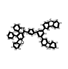 c1ccc(-c2c3c(cc4c(-c5ccc(-c6cc(-c7ccc8sc9ccccc9c8c7)cc(-c7ccc8sc9ccccc9c8c7)c6)cc5)nc5ccccc5c24)oc2ccccc23)cc1